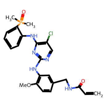 C=CC(=O)NCc1ccc(OC)c(Nc2ncc(Cl)c(Nc3ccccc3P(C)(C)=O)n2)c1